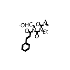 CCN(C(=O)N(C)C)C(=O)N(C[C]=O)C(=O)C=Cc1ccccc1